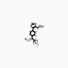 CN[C@@H](C)c1ccc(-c2scnc2CO)cc1